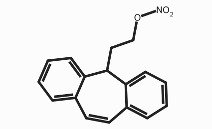 O=[N+]([O-])OCCC1c2ccccc2C=Cc2ccccc21